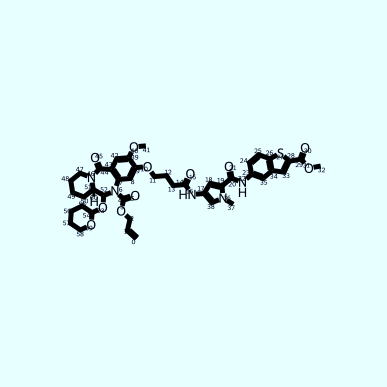 C=CCOC(=O)N1c2cc(OCCCC(=O)Nc3cc(C(=O)Nc4ccc5sc(C(=O)OC)cc5c4)n(C)c3)c(OC)cc2C(=O)N2CCCC[C@H]2C1OC1CCCCO1